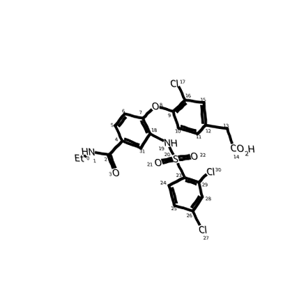 CCNC(=O)c1ccc(Oc2ccc(CC(=O)O)cc2Cl)c(NS(=O)(=O)c2ccc(Cl)cc2Cl)c1